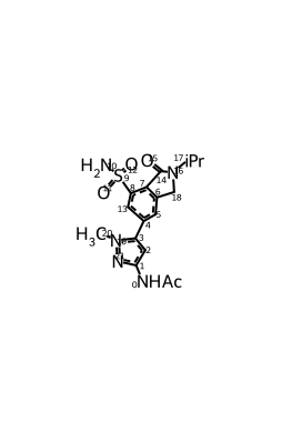 CC(=O)Nc1cc(-c2cc3c(c(S(N)(=O)=O)c2)C(=O)N(C(C)C)C3)n(C)n1